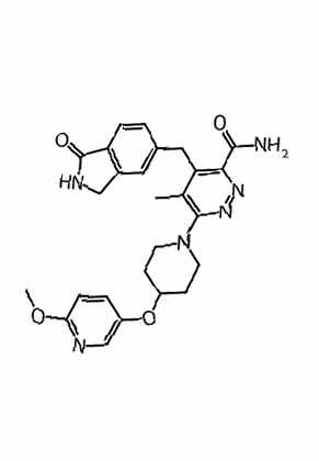 COc1ccc(OC2CCN(c3nnc(C(N)=O)c(Cc4ccc5c(c4)CNC5=O)c3C)CC2)cn1